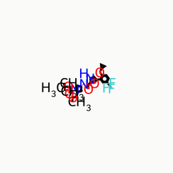 COCC1C[C@@H](NC(=O)c2ncc(-c3cc(C(F)(F)F)ccc3OC3CC3)o2)CN1C(=O)OC(C)(C)C